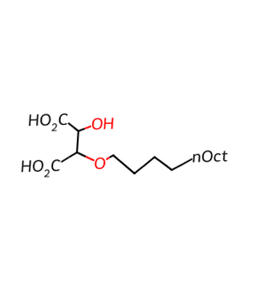 CCCCCCCCCCCCOC(C(=O)O)C(O)C(=O)O